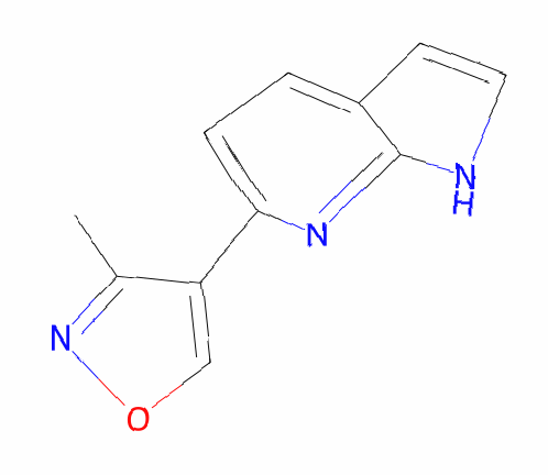 Cc1nocc1-c1ccc2cc[nH]c2n1